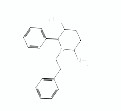 CC1[CH]CC(N)N(CCc2ccccc2)C1c1ccccc1